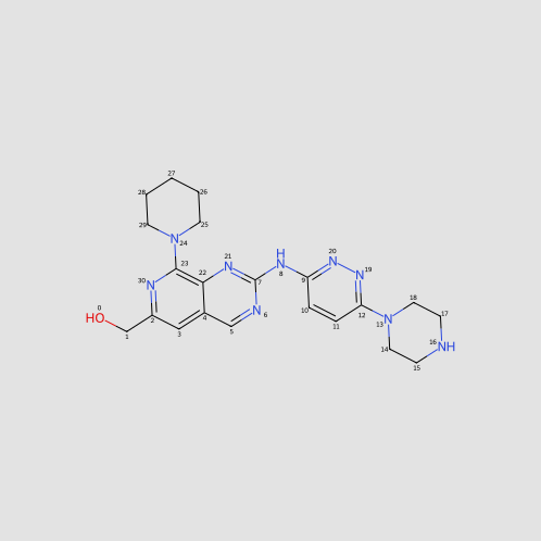 OCc1cc2cnc(Nc3ccc(N4CCNCC4)nn3)nc2c(N2CCCCC2)n1